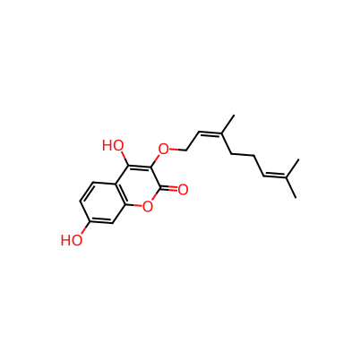 CC(C)=CCCC(C)=CCOc1c(O)c2ccc(O)cc2oc1=O